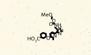 COCCOC(=O)NCc1c(-c2ccc(O[C@H]3CCC[C@H](C(=O)O)C3)c(C)n2)nnn1C